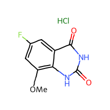 COc1cc(F)cc2c(=O)[nH]c(=O)[nH]c12.Cl